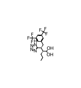 CCC[C@H](C(O)O)[C@H](Cc1cc(C(F)(F)F)cc(C(F)(F)F)c1)c1nnn[nH]1